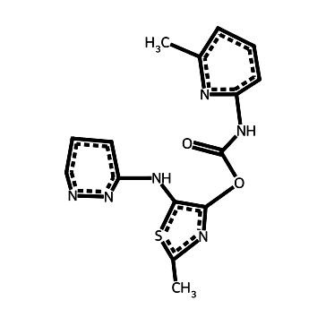 Cc1cccc(NC(=O)Oc2nc(C)sc2Nc2cccnn2)n1